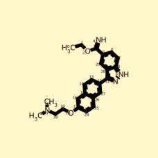 CCOC(=N)c1ccc2[nH]nc(-c3ccc4cc(OCCN(C)C)ccc4c3)c2c1